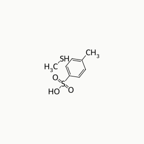 CS.Cc1ccc(S(=O)(=O)O)cc1